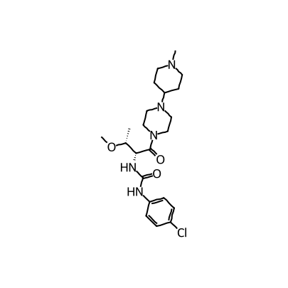 CO[C@H](C)[C@@H](NC(=O)Nc1ccc(Cl)cc1)C(=O)N1CCN(C2CCN(C)CC2)CC1